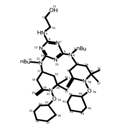 C=C1CC(N(CCCC)c2nc(NCCO)nc(N(CCCC)C3CC(=C)N(OC4CCCCC4)C(C)(C)C3)n2)CC(C)(C)N1OC1CCCCC1